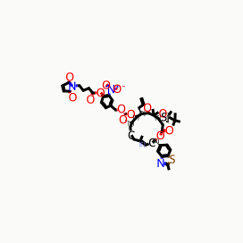 C=CC[C@H]1C(=O)C(C)(C)[C@@H](O[Si](C)(C)C(C)(C)C)CC(=O)O[C@H](c2ccc3sc(C)nc3c2)C/C=C(\C)CCC[C@H](C)[C@@H]1OC(=O)OCc1ccc(OC(=O)CCCN2C(=O)C=CC2=O)c([N+](=O)[O-])c1